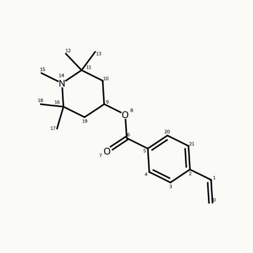 C=Cc1ccc(C(=O)OC2CC(C)(C)N(C)C(C)(C)C2)cc1